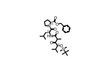 CC(C)C[C@H](NC(=O)C(C)C(=O)[C@@H](O[Si](C)(C)C(C)(C)C)C(C)C)C(=O)N1CCC[C@H]1C(=O)OCc1ccccc1